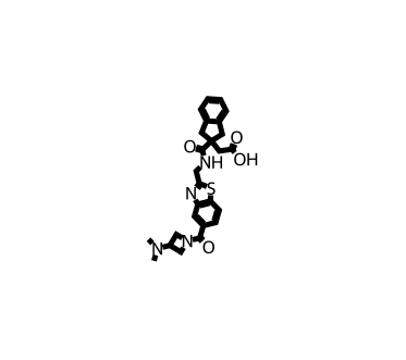 CN(C)C1CN(C(=O)c2ccc3sc(CNC(=O)C4(CC(=O)O)Cc5ccccc5C4)nc3c2)C1